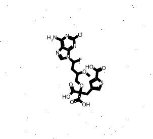 COC(COC(Cc1csc(C(=O)O)c1)(C(=O)O)C(=O)O)CC(F)n1cnc2c(N)nc(Cl)nc21